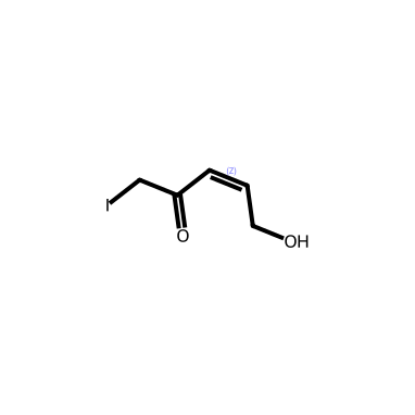 O=C(/C=C\CO)CI